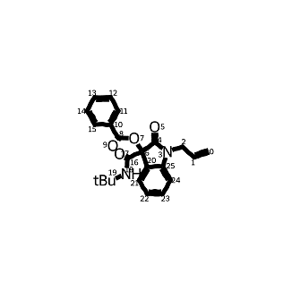 C=CCN1C(=O)C(OC(=O)c2ccccc2)(C(=O)NC(C)(C)C)c2ccccc21